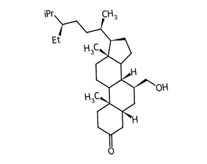 CC[C@H](CC[C@@H](C)[C@H]1CCC2[C@H]3C(CC[C@@]21C)[C@@]1(C)CCC(=O)C[C@H]1C[C@@H]3CO)C(C)C